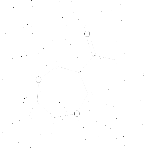 CC(=O)C1COCCOC1